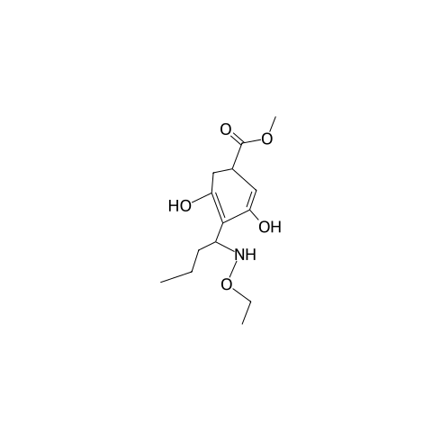 CCCC(NOCC)C1=C(O)CC(C(=O)OC)C=C1O